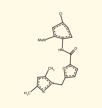 CNc1cc(Cl)ccc1NC(=O)c1ccc(Cn2nc(C)cc2C)o1